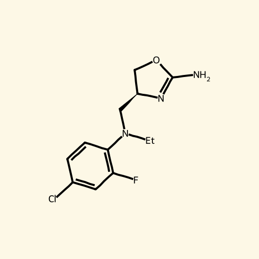 CCN(C[C@H]1COC(N)=N1)c1ccc(Cl)cc1F